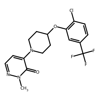 Cn1nccc(N2CCC(Oc3cc(C(F)(F)F)ccc3Cl)CC2)c1=O